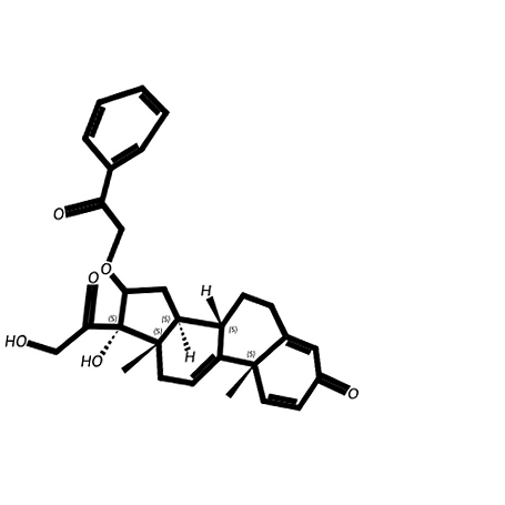 C[C@]12C=CC(=O)C=C1CC[C@@H]1C2=CC[C@@]2(C)[C@H]1CC(OCC(=O)c1ccccc1)[C@]2(O)C(=O)CO